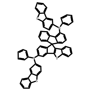 c1ccc(N(c2ccc3c(c2)-c2sc4ccccc4c2C32c3ccccc3-c3c(N(c4ccccc4)c4ccc5sc6ccccc6c5c4)cccc32)c2ccc3sc4ccccc4c3c2)cc1